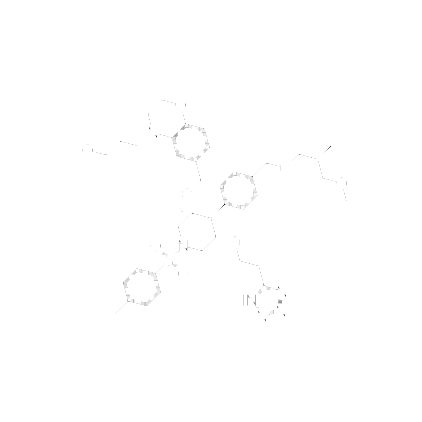 COCCCN1CCOc2ccc(CO[C@H]3CN(S(=O)(=O)c4ccc(C)cc4)C[C@@H](OCCc4nnn[nH]4)[C@@H]3c3ccc(COC[C@@H](C)COC)cc3)cc21